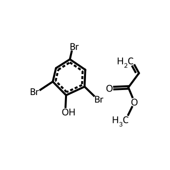 C=CC(=O)OC.Oc1c(Br)cc(Br)cc1Br